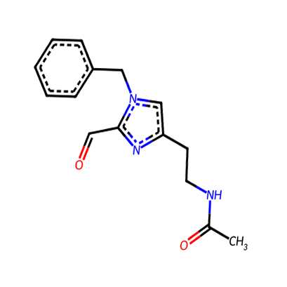 CC(=O)NCCc1cn(Cc2ccccc2)c(C=O)n1